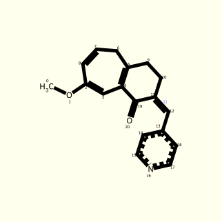 COC1=CC2=C(CC=C1)CC/C(=C/c1ccncc1)C2=O